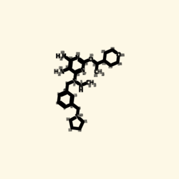 CNN(Cc1cccc(CN2CCCC2)c1)c1nc(OC(C)C2CCOCC2)nc(N)c1N